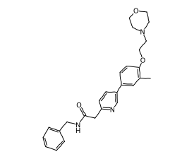 Cc1cc(-c2ccc(CC(=O)NCc3ccccc3)nc2)ccc1OCCN1CCOCC1